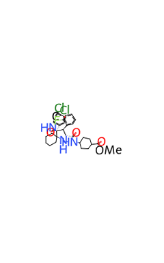 COC(=O)C1CCC(NC(=O)[C@@H]2NC3(CCCCC3)[C@@]3(C(=O)Nc4cc(Cl)ccc43)[C@H]2c2cccc(Cl)c2F)CC1